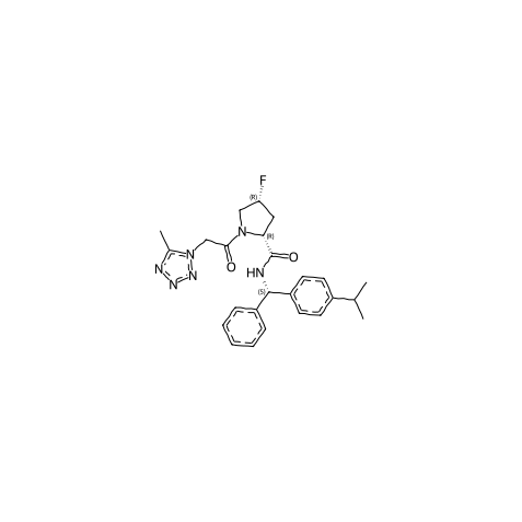 Cc1nnnn1CC(=O)N1C[C@H](F)C[C@@H]1C(=O)N[C@@H](c1ccccc1)c1ccc(C(C)C)cc1